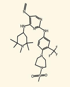 C=Nc1cnc(Nc2ccc(N3CCN(S(C)(=O)=O)CC3)c(C(F)(F)F)c2)nc1NC1CC(C)(C)N(C)C(C)(C)C1